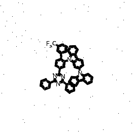 FC(F)(F)c1cccc(-c2ccc(-c3nc(-c4ccccc4)nc(-c4ccccc4)n3)cc2-n2c3ccccc3c3ccc(-n4c5ccccc5c5ccccc54)cc32)c1